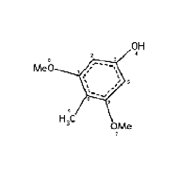 COc1cc(O)cc(OC)c1C